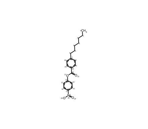 CCCCCCCc1ccc(C(=O)Oc2ccc([N+](=O)[O-])cc2)cc1